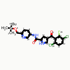 CC(C)(C)[Si](C)(C)OCc1ccc(NC(=O)c2cc(C(=O)c3c(Cl)ccc(Cl)c3F)c[nH]2)cn1